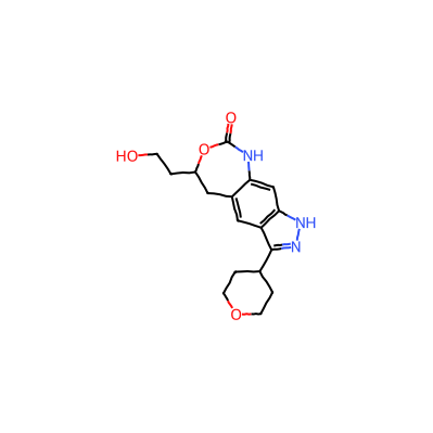 O=C1Nc2cc3[nH]nc(C4CCOCC4)c3cc2CC(CCO)O1